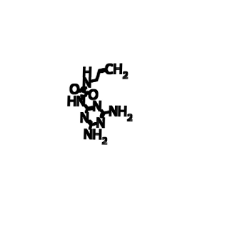 C=CCNS(=O)(=O)Nc1nc(N)nc(N)n1